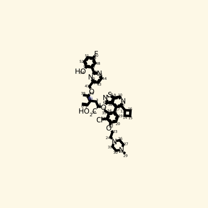 C=C/C(C[C@@H](Oc1nsc2cnc(C3CCC3)c(-c3ccc(OCCN4CCN(C)CC4)c(Cl)c3C)c12)C(=O)O)=C(\C)OCc1ccnc(-c2cc(F)ccc2O)n1